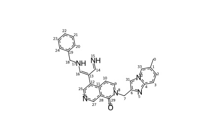 Cc1ccc2nc(Cn3ccc4c(/C(C=N)=C/NCc5ccccc5)cncc4c3=O)cn2c1